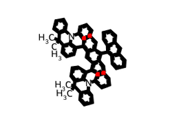 CC1(C)c2ccccc2N(c2ccccc2)c2c(-c3cccc4c(-c5c6ccccc6cc6ccccc56)c5cccc(-c6cccc7c6N(c6ccccc6)c6ccccc6C7(C)C)c5cc34)cccc21